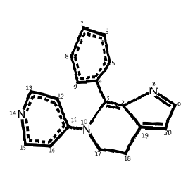 C1=NC2=C(c3ccccc3)N(c3ccncc3)CCC2=C1